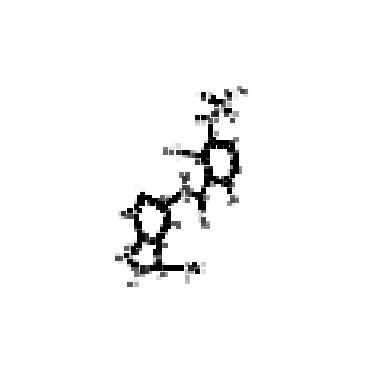 CCCS(=O)(=O)Nc1ccc(F)c(C(=O)Nc2cnc3[nH]nc(SC)c3c2)c1F